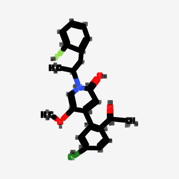 COc1cn(C(C)Cc2ccccc2F)c(=O)cc1-c1cc(Cl)ccc1C(C)=O